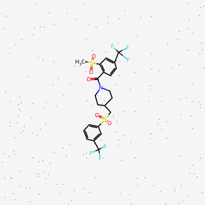 CS(=O)(=O)c1cc(C(F)(F)F)ccc1C(=O)N1CCC(CS(=O)(=O)c2cccc(C(F)(F)F)c2)CC1